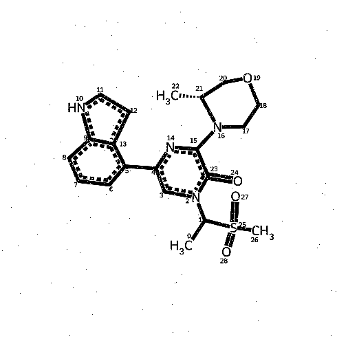 CC(n1cc(-c2cccc3[nH]ccc23)nc(N2CCOC[C@H]2C)c1=O)S(C)(=O)=O